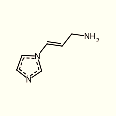 NCC=Cn1ccnc1